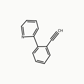 C#Cc1ccccc1-c1ccccn1